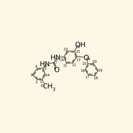 Cc1cccc(NC(=O)Nc2ccc(Oc3ccccc3)c(O)c2)c1